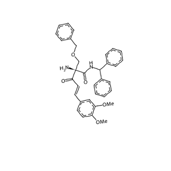 COc1ccc(C=CC(=O)[C@](N)(COCc2ccccc2)C(=O)NC(c2ccccc2)c2ccccc2)cc1OC